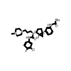 CN1CCN(CCCN(C(=O)Nc2ccc(F)c(Cl)c2)[C@@H]2CC[C@]3(c4cccc(NC(=O)C(C)(C)C)c4)C[C@H]23)CC1